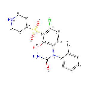 CCc1ccccc1N(C(N)=O)c1ccc(Cl)c(S(=O)(=O)C2CCNCC2)c1O